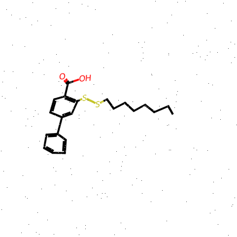 CCCCCCCCSSc1cc(-c2ccccc2)ccc1C(=O)O